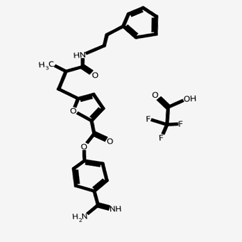 CC(Cc1ccc(C(=O)Oc2ccc(C(=N)N)cc2)o1)C(=O)NCCc1ccccc1.O=C(O)C(F)(F)F